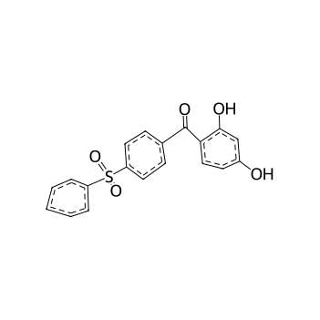 O=C(c1ccc(S(=O)(=O)c2ccccc2)cc1)c1ccc(O)cc1O